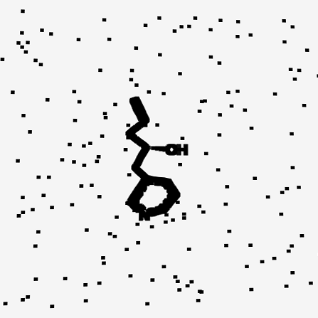 C=CC[C@H](O)Cc1cccnc1